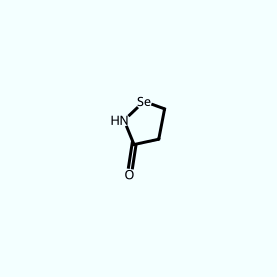 O=C1CC[Se]N1